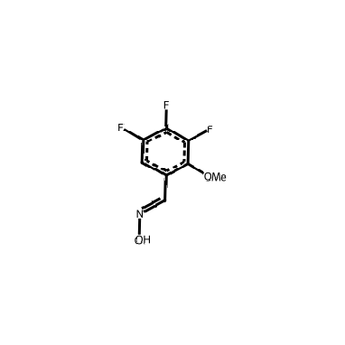 COc1c(C=NO)cc(F)c(F)c1F